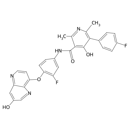 Cc1nc(C)c(-c2ccc(F)cc2)c(O)c1C(=O)Nc1ccc(Oc2ccnc3cc(O)cnc23)c(F)c1